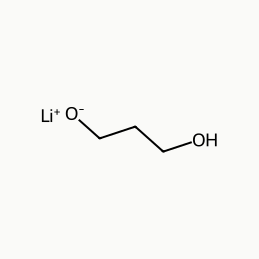 [Li+].[O-]CCCO